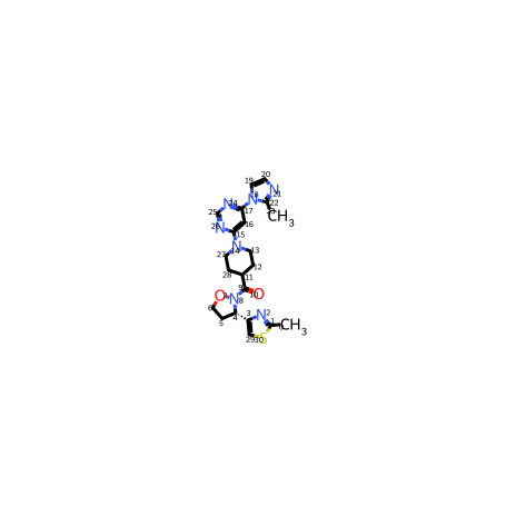 Cc1nc([C@@H]2CCON2C(=O)C2CCN(c3cc(-n4ccnc4C)ncn3)CC2)cs1